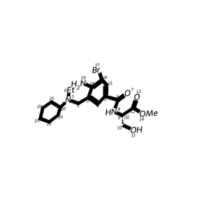 CCN(Cc1cc(C(=O)N[C@@H](CO)C(=O)OC)cc(Br)c1N)C1CCCCC1